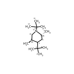 C[C@@H]1CC(C(C)(C)C)[C@@H](C)CN1C(C)(C)C